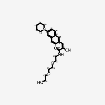 N#CC(=Cc1ccc2cc(N3CCCCC3)ccc2c1)C(=O)NCCOCCOCCO